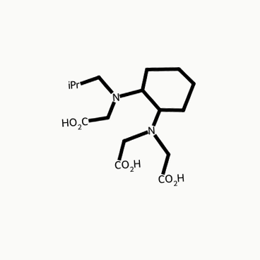 CC(C)CN(CC(=O)O)C1CCCCC1N(CC(=O)O)CC(=O)O